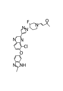 CC(=O)C=CN1CC[C@H](n2cc(-c3cnc4ccc(Oc5ccc6nc(C)[nH]c6c5)c(Cl)c4n3)cn2)[C@@H](F)C1